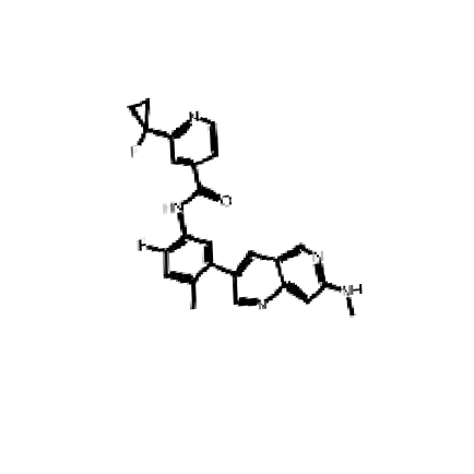 CNc1cc2ncc(-c3cc(NC(=O)c4ccnc(C5(F)CC5)c4)c(F)cc3C)cc2cn1